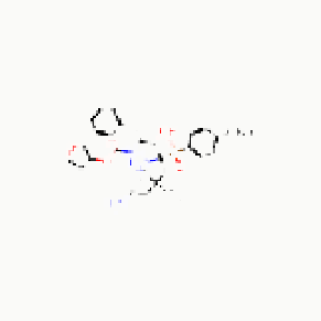 COc1ccc(S(=O)(=O)C(N)(CC(C)(C)CCN)[C@H](O)[C@H](Cc2ccccc2)NC(=O)Oc2ccoc2)cc1